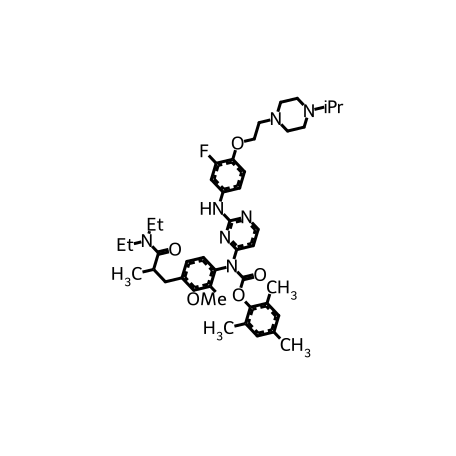 CCN(CC)C(=O)C(C)Cc1ccc(N(C(=O)Oc2c(C)cc(C)cc2C)c2ccnc(Nc3ccc(OCCN4CCN(C(C)C)CC4)c(F)c3)n2)c(OC)c1